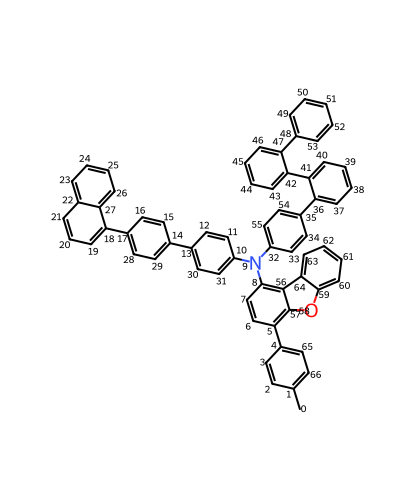 Cc1ccc(-c2ccc(N(c3ccc(-c4ccc(-c5cccc6ccccc56)cc4)cc3)c3ccc(-c4ccccc4-c4ccccc4-c4ccccc4)cc3)c3c2oc2ccccc23)cc1